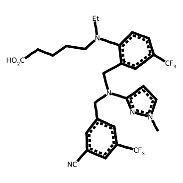 CCN(CCCCC(=O)O)c1ccc(C(F)(F)F)cc1CN(Cc1cc(C#N)cc(C(F)(F)F)c1)c1ccn(C)n1